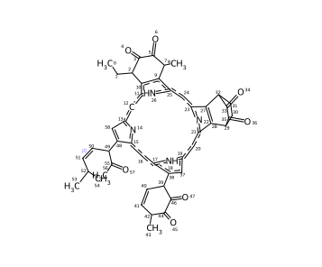 CCC1C(=O)C(=O)C(C)c2c1c1cc3nc(cc4[nH]c(cc5nc(cc2[nH]1)C1=C5C2CCC1C(=O)C2=O)cc4C1C=CC(C)C(=O)C1=O)C(C(/C=C\C(C)C)C(C)=O)=C3